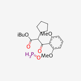 COc1cccc(OC)c1C(=O)C(C(=O)OCC(C)C)C1CCCC1.O=[PH3]